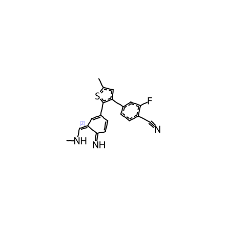 CN/C=C1/C=C(c2sc(C)cc2-c2ccc(C#N)c(F)c2)C=CC1=N